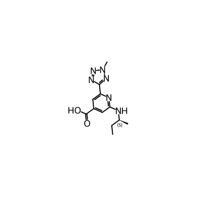 CC[C@H](C)Nc1cc(C(=O)O)cc(-c2nnn(C)n2)n1